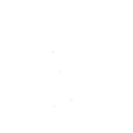 FC1(F)CCN(Cc2ccc3c(Cl)nc(Cl)cc3n2)CC1